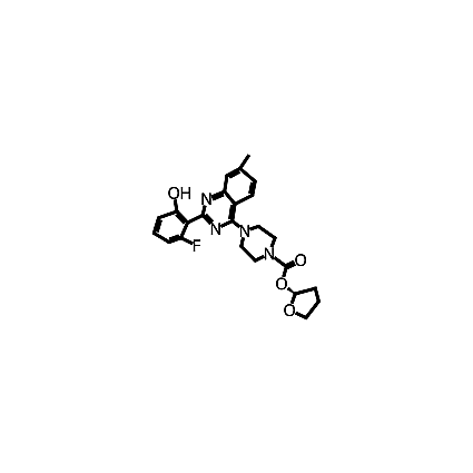 Cc1ccc2c(N3CCN(C(=O)O[C@H]4CCCO4)CC3)nc(-c3c(O)cccc3F)nc2c1